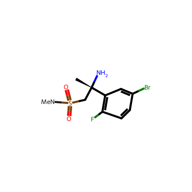 CNS(=O)(=O)C[C@](C)(N)c1cc(Br)ccc1F